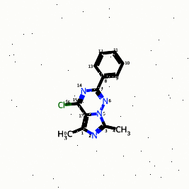 Cc1nc(C)n2nc(-c3ccccc3)nc(Cl)c12